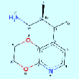 CC(c1ccnc2c1OCCO2)[C@H](C)CN